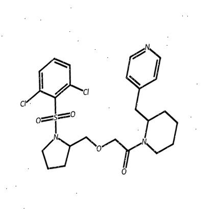 O=C(COCC1CCCN1S(=O)(=O)c1c(Cl)cccc1Cl)N1CCCCC1Cc1ccncc1